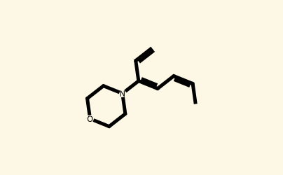 C=C/C(=C\C=C/C)N1CCOCC1